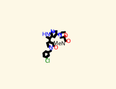 CNC(=O)C1CN(c2cnc3[nH]cc(-c4ccn(Cc5cccc(Cl)c5)c(=O)c4)c3c2)CCO1